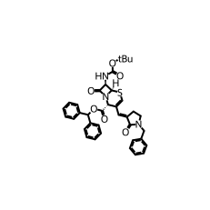 CC(C)(C)OC(=O)N[C@@H]1C(=O)N2[C@@H](C(=O)OC(c3ccccc3)c3ccccc3)C(/C=C3\CCN(Cc4ccccc4)C3=O)=CS[C@H]12